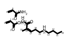 C=CC(=O)O.C=CC(N)=O.CCCCNCCC=C(C)C(=O)O